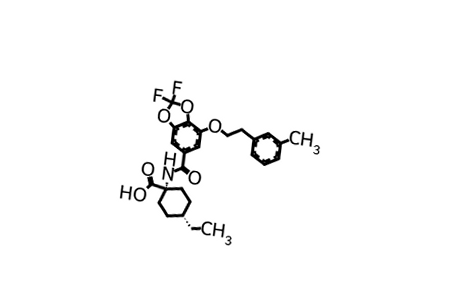 CC[C@H]1CC[C@](NC(=O)c2cc(OCCc3cccc(C)c3)c3c(c2)OC(F)(F)O3)(C(=O)O)CC1